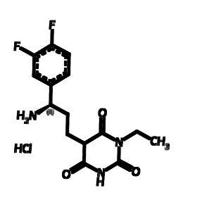 CCN1C(=O)NC(=O)C(CC[C@@H](N)c2ccc(F)c(F)c2)C1=O.Cl